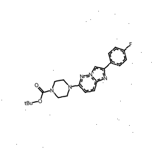 CC(C)(C)OC(=O)N1CCN(c2ccc3nc(-c4ccc(F)cc4)cn3n2)CC1